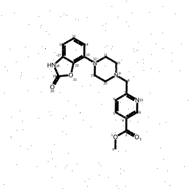 COC(=O)c1ccc(CN2CCN(c3cccc4[nH]c(=O)oc34)CC2)nc1